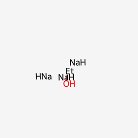 [CH2]CO.[NaH].[NaH].[NaH]